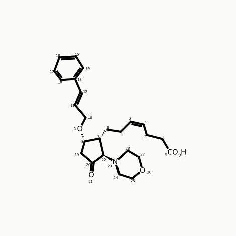 O=C(O)CC/C=C\CC[C@H]1[C@@H](OCC=Cc2ccccc2)CC(=O)[C@@H]1N1CCOCC1